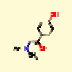 CC(=O)N(C)C[C@H](O)c1ccc(O)cc1